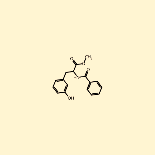 COC(=O)C(Cc1cccc(O)c1)NC(=O)c1ccccc1